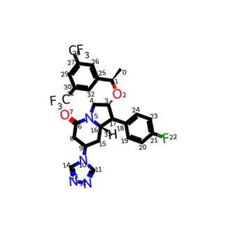 C[C@@H](O[C@H]1CN2C(=O)CC(n3cnnc3)C[C@H]2C1c1ccc(F)cc1)c1cc(C(F)(F)F)cc(C(F)(F)F)c1